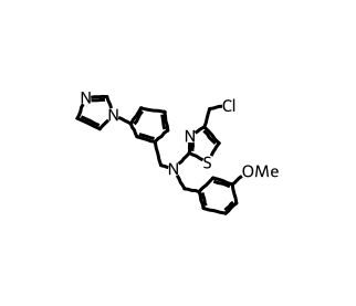 COc1cccc(CN(Cc2cccc(-n3ccnc3)c2)c2nc(CCl)cs2)c1